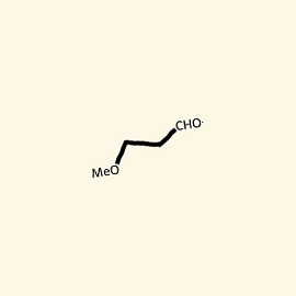 COCC[C]=O